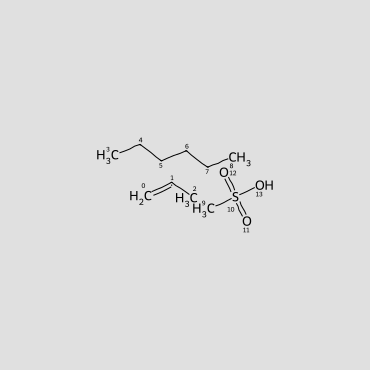 C=[C]C.CCCCCC.CS(=O)(=O)O